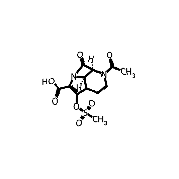 CC(=O)N1CCC2C(OS(C)(=O)=O)=C(C(=O)O)N3C(=O)[C@@H]1[C@@H]23